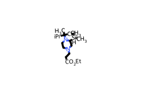 CCOC(=O)CCN1CCN(C(C)(C)C(C)C)C([SiH](C)C)C1